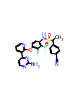 CC(c1ccc(C#N)cc1)S(=O)(=O)Nc1ccc(Oc2ncccc2-c2ccnc(N)n2)c(F)c1F